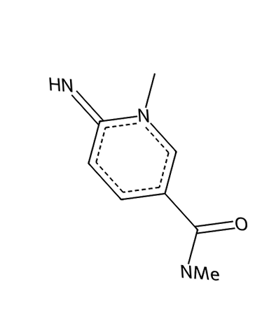 CNC(=O)c1ccc(=N)n(C)c1